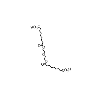 O=C(O)CCCCCCCC(=O)OCCOCCOC(=O)CCCCCCCC(=O)O